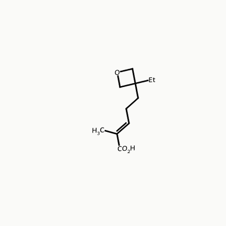 CCC1(CCC=C(C)C(=O)O)COC1